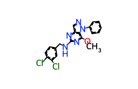 COc1nc(NCc2ccc(Cl)c(Cl)c2)nc2cnn(-c3ccccc3)c12